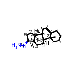 C[C@]12CCCCC1=CC[C@@H]1[C@@H]2CC[C@]2(C)C(=NN)CC[C@@H]12